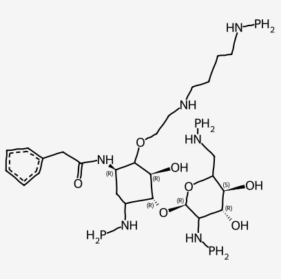 O=C(Cc1ccccc1)N[C@@H]1CC(NP)[C@@H](O[C@H]2OC(CNP)[C@@H](O)[C@H](O)C2NP)[C@H](O)C1OCCNCCCCNP